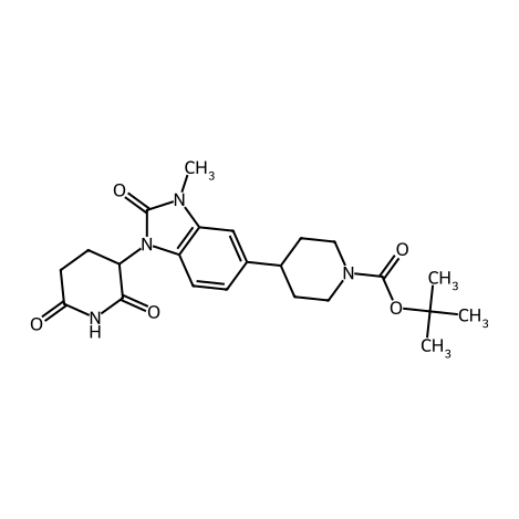 Cn1c(=O)n(C2CCC(=O)NC2=O)c2ccc(C3CCN(C(=O)OC(C)(C)C)CC3)cc21